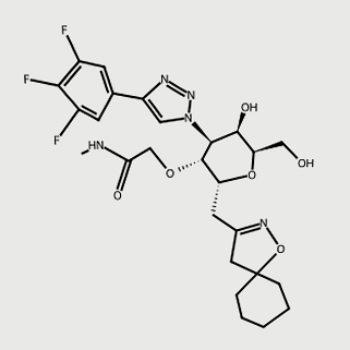 CNC(=O)CO[C@@H]1[C@@H](n2cc(-c3cc(F)c(F)c(F)c3)nn2)[C@@H](O)[C@@H](CO)O[C@@H]1CC1=NOC2(CCCCC2)C1